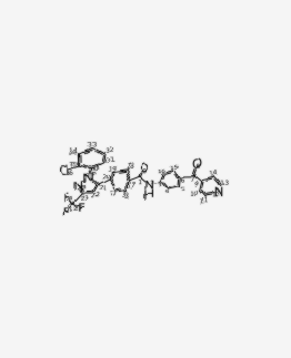 O=C(Nc1ccc(C(=O)c2ccncc2)cc1)c1ccc(-c2cc(C(F)(F)F)nn2-c2ccccc2Cl)cc1